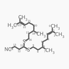 CC(C)=CCCC(C)CCSC(CCC#N)SCCC(C)CCC=C(C)C